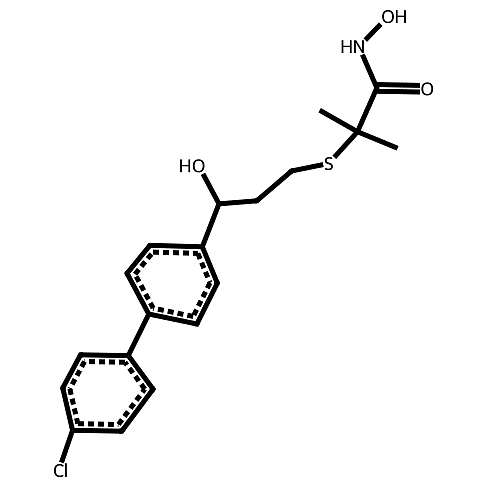 CC(C)(SCCC(O)c1ccc(-c2ccc(Cl)cc2)cc1)C(=O)NO